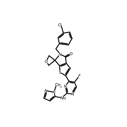 Cn1nccc1Nc1ncc(F)c(-c2cc3c(s2)C2(COC2)N(Cc2cccc(Cl)c2)C3=O)n1